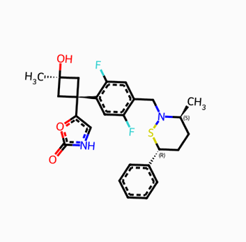 C[C@H]1CC[C@H](c2ccccc2)SN1Cc1cc(F)c([C@]2(c3c[nH]c(=O)o3)C[C@](C)(O)C2)cc1F